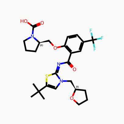 CC(C)(C)c1cn(C[C@H]2CCCO2)c(=NC(=O)c2cc(C(F)(F)F)ccc2OC[C@H]2CCCN2C(=O)O)s1